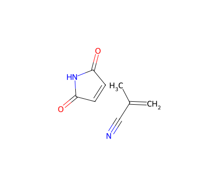 C=C(C)C#N.O=C1C=CC(=O)N1